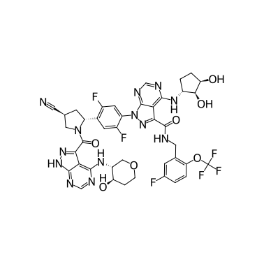 N#C[C@H]1C[C@H](c2cc(F)c(-n3nc(C(=O)NCc4cc(F)ccc4OC(F)(F)F)c4c(N[C@@H]5CC[C@@H](O)[C@H]5O)ncnc43)cc2F)N(C(=O)c2n[nH]c3ncnc(N[C@@H]4COCC[C@H]4O)c23)C1